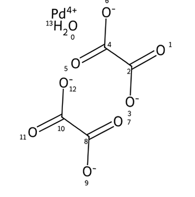 O.O=C([O-])C(=O)[O-].O=C([O-])C(=O)[O-].[Pd+4]